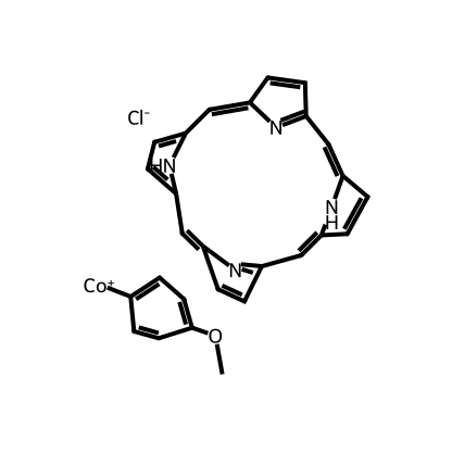 C1=Cc2cc3ccc(cc4nc(cc5ccc(cc1n2)[nH]5)C=C4)[nH]3.COc1cc[c]([Co+])cc1.[Cl-]